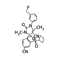 CC1=C(C#N)[C@@H](c2ccc(C#N)cc2S(=O)(=O)C2CCC2)N(C)C(=O)N1c1cccc(CF)c1